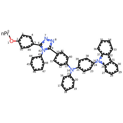 CCCOc1ccc(-c2nnc(-c3ccc(N(c4ccccc4)c4ccc(-n5c6ccccc6c6ccccc65)cc4)cc3)n2-c2ccccc2)cc1